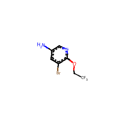 Nc1cnc(OCC(F)(F)F)c(Br)c1